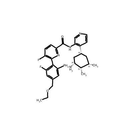 CCOCc1cc(F)c(-c2nc(C(=O)Nc3cnccc3[C@H]3C[C@@H](N)[C@@H](C)[C@@H](C)C3)ccc2F)c(P)c1